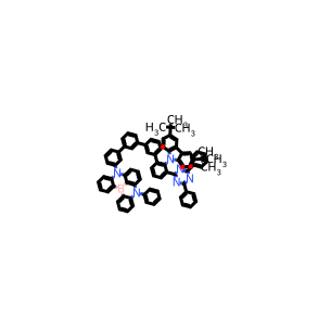 CC(C)(C)c1ccc2c(c1)c1cc(C(C)(C)C)ccc1n2-c1c(-c2cccc(-c3cccc(-c4cccc(N5c6ccccc6B6c7ccccc7N(c7ccccc7)c7cccc5c76)c4)c3)c2)cccc1-c1nc(-c2ccccc2)nc(-c2ccccc2)n1